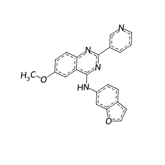 COc1ccc2nc(-c3cccnc3)nc(Nc3ccc4ccoc4c3)c2c1